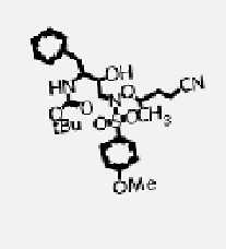 COc1ccc(S(=O)(=O)N(CC(O)C(Cc2ccccc2)NC(=O)OC(C)(C)C)OC(C)CCC#N)cc1